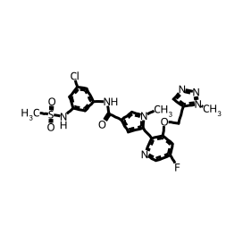 Cn1cc(C(=O)Nc2cc(Cl)cc(NS(C)(=O)=O)c2)cc1-c1ncc(F)cc1OCc1cnnn1C